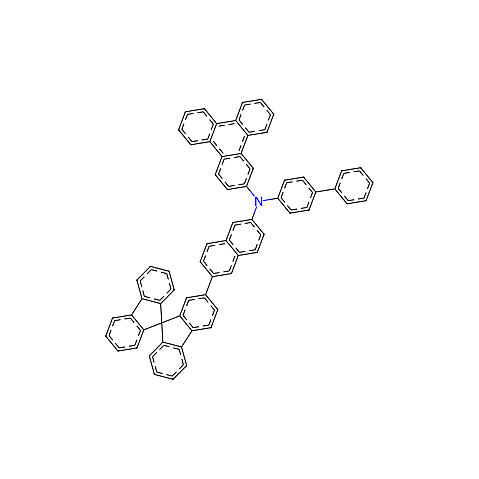 c1ccc(-c2ccc(N(c3ccc4cc(-c5ccc6c(c5)C5(c7ccccc7-c7ccccc75)c5ccccc5-6)ccc4c3)c3ccc4c5ccccc5c5ccccc5c4c3)cc2)cc1